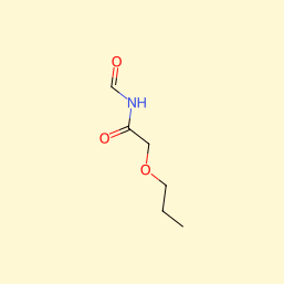 CCCOCC(=O)NC=O